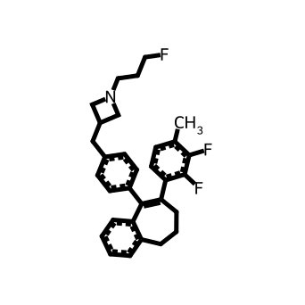 Cc1ccc(C2=C(c3ccc(CC4CN(CCCF)C4)cc3)c3ccccc3CCC2)c(F)c1F